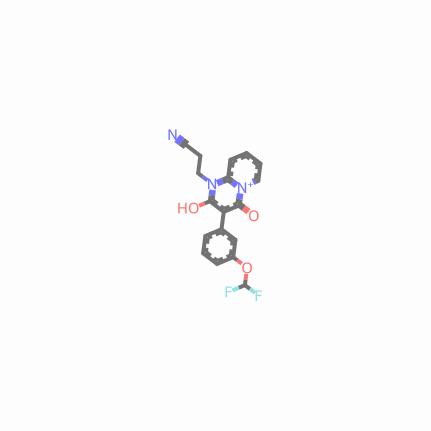 N#CCCn1c(O)c(-c2cccc(OC(F)F)c2)c(=O)[n+]2ccccc12